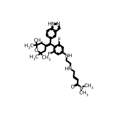 CN(C)C(=O)/C=C/CNCCNc1cc(F)c(C(=C2CC(C)(C)OC(C)(C)C2)c2ccc3[nH]ncc3c2)c(F)c1